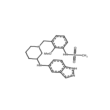 COc1c(CN2CCCC(Nc3ccc4[nH]ncc4c3)C2)cccc1NS(C)(=O)=O